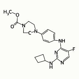 COC(=O)N1CCN(c2ccc(Nc3nc(NC4CCC4)ncc3F)cc2)CC1